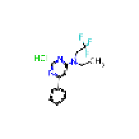 CCN(CC(F)(F)F)c1cc(-c2ccccc2)ncn1.Cl